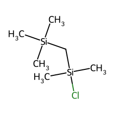 C[Si](C)(C)C[Si](C)(C)Cl